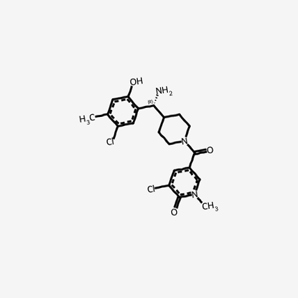 Cc1cc(O)c([C@H](N)C2CCN(C(=O)c3cc(Cl)c(=O)n(C)c3)CC2)cc1Cl